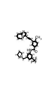 Cc1ccc(C(=O)Nc2cc(CN3CCCC3)cc(C(F)(F)F)c2)cc1C#Cc1cnc2ccccn12